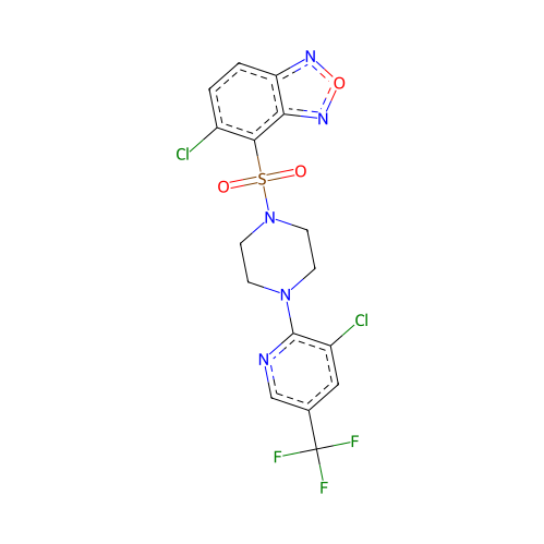 O=S(=O)(c1c(Cl)ccc2nonc12)N1CCN(c2ncc(C(F)(F)F)cc2Cl)CC1